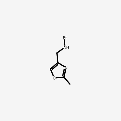 CCNCc1coc(C)n1